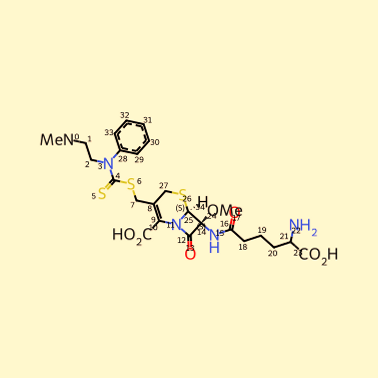 CNCCN(C(=S)SCC1=C(C(=O)O)N2C(=O)[C@](NC(=O)CCCC(N)C(=O)O)(OC)[C@@H]2SC1)c1ccccc1